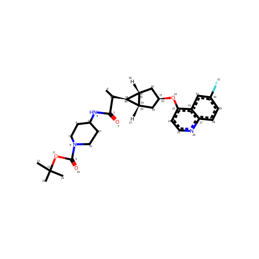 CC(C(=O)NC1CCN(C(=O)OC(C)(C)C)CC1)[C@H]1[C@@H]2C[C@@H](Oc3ccnc4ccc(F)cc34)C[C@@H]21